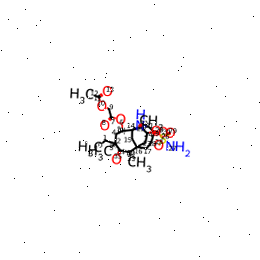 CC[C@]1(C)C[C@@H](OC(=O)COC(C)=O)C23CC(CCC(=O)CN2)(CC(OS(N)(=O)=O)C3C)[C@@H](C)C1=O